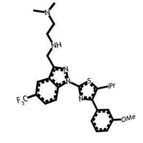 COc1cccc(-c2nc(-n3nc(CNCCN(C)C)c4cc(C(F)(F)F)ccc43)sc2C(C)C)c1